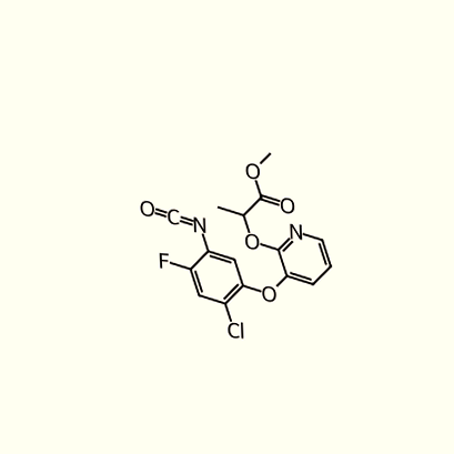 COC(=O)C(C)Oc1ncccc1Oc1cc(N=C=O)c(F)cc1Cl